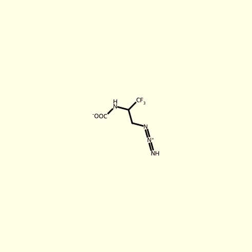 N=[N+]=NCC(NC(=O)[O-])C(F)(F)F